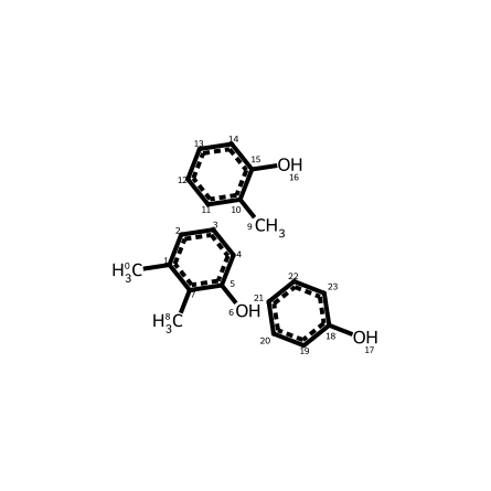 Cc1cccc(O)c1C.Cc1ccccc1O.Oc1ccccc1